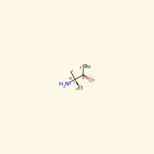 CC[C@](C)(N)C(=O)C(C)(C)C